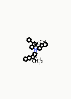 CC1(C)c2ccc(N(c3ccc4c(c3)C(C)(C)C3C=CC=CC43)c3cccc4c(-c5ccccc5)cccc34)cc2-c2cc3ccccc3cc21